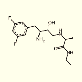 CCNC(=O)[C@H](C)NC[C@@H](O)[C@@H](N)Cc1cc(F)cc(F)c1